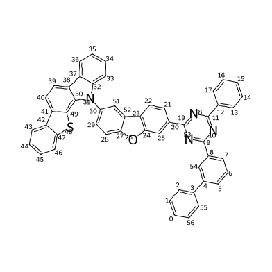 c1ccc(-c2cccc(-c3nc(-c4ccccc4)nc(-c4ccc5c(c4)oc4ccc(-n6c7ccccc7c7ccc8c9ccccc9sc8c76)cc45)n3)c2)cc1